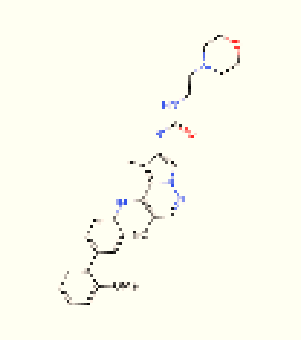 COc1ccccc1-c1ccc(Nc2c(C#N)cnn3cc(NC(=O)NCCN4CCOCC4)c(C)c23)cc1